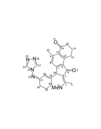 CNC(C)=C1C(=O)c2c(cc(C)c3c2CCCC3=O)C1C1=CC(=Nn2cnnc2)CCC1